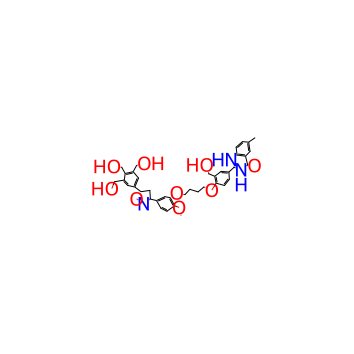 COc1ccc(C2=NOC(c3cc(CO)c(CO)c(CO)c3)C2)cc1OCCCCOc1ccc(C2NC(=O)c3cc(C)ccc3N2)cc1CO